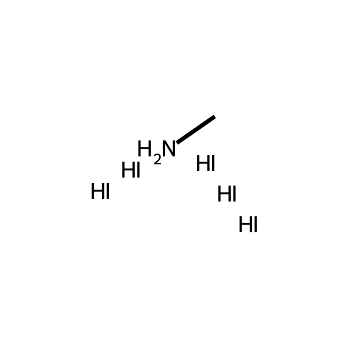 CN.I.I.I.I.I